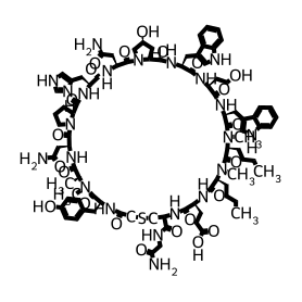 CCCC[C@H]1C(=O)N(C)[C@@H](CCCC)C(=O)N[C@@H](CCC(=O)O)C(=O)NC(C(=O)NCC(N)=O)CSCC(=O)N[C@@H](Cc2ccc(O)cc2)C(=O)N(C)[C@@H](C)C(=O)N[C@@H](CC(N)=O)C(=O)N2CCC[C@H]2C(=O)N[C@@H](Cc2c[nH]cn2)C(=O)N[C@@H](CC(N)=O)C(=O)N2C[C@H](O)C[C@H]2C(=O)N[C@@H](Cc2c[nH]c3ccccc23)C(=O)N[C@@H](CCO)C(=O)N[C@@H](Cc2c[nH]c3ccccc23)C(=O)N1C